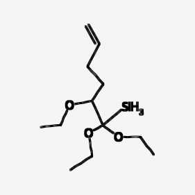 C=CCCC(OCC)C([SiH3])(OCC)OCC